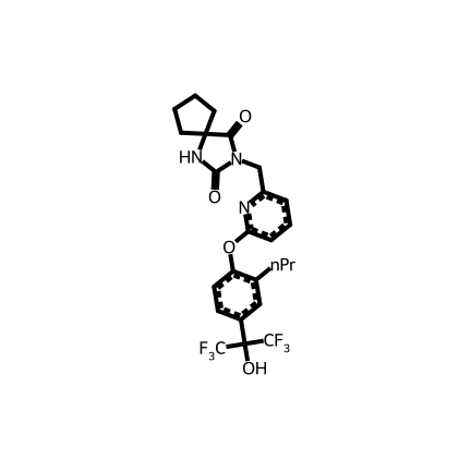 CCCc1cc(C(O)(C(F)(F)F)C(F)(F)F)ccc1Oc1cccc(CN2C(=O)NC3(CCCC3)C2=O)n1